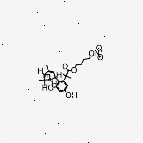 CC1=C[C@H](c2c(O)cc(O)cc2C(C)(C)C(=O)OCCCCO[N+](=O)[O-])[C@@H]2C[C@@H]1C2(C)C